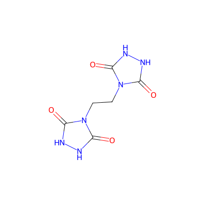 O=c1[nH][nH]c(=O)n1CCn1c(=O)[nH][nH]c1=O